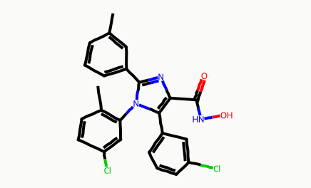 Cc1cccc(-c2nc(C(=O)NO)c(-c3cccc(Cl)c3)n2-c2cc(Cl)ccc2C)c1